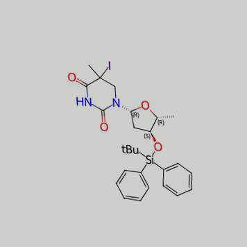 C[C@H]1O[C@@H](N2CC(C)(I)C(=O)NC2=O)C[C@@H]1O[Si](c1ccccc1)(c1ccccc1)C(C)(C)C